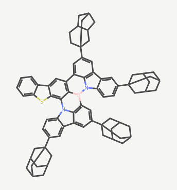 c1ccc2c(c1)sc1c3c4c(cc12)-c1cc(C25CCC6CC(CC6C2)C5)cc2c5cc(C67CC8CC(CC(C8)C6)C7)ccc5n(c12)B4c1cc(C24CC5CC(CC(C5)C2)C4)cc2c4cc(C56CC7CC(CC(C7)C5)C6)ccc4n-3c12